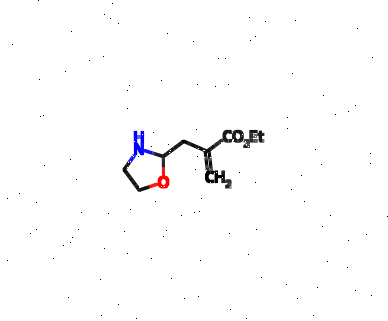 C=C(CC1NCCO1)C(=O)OCC